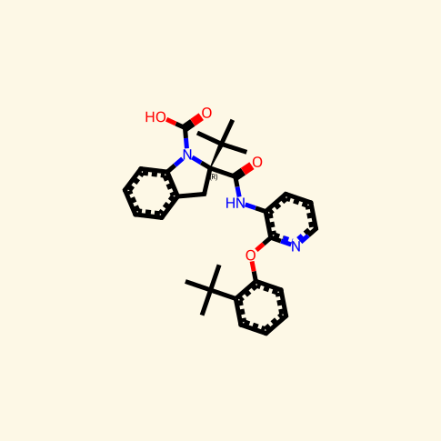 CC(C)(C)c1ccccc1Oc1ncccc1NC(=O)[C@]1(C(C)(C)C)Cc2ccccc2N1C(=O)O